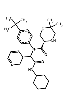 CC1(C)CN[C@@H](C(=O)N(c2ccc(C(C)(C)C)cc2)C(C(=O)NC2CCCCC2)C2C=CC=NC2)CO1